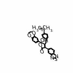 CN(C)c1ccc(CC2=C(c3ccc4nsnc4c3)C(=O)OC2(O)c2ccc3c(c2)OCCO3)cc1